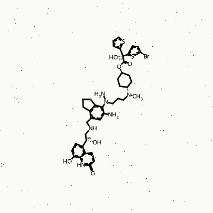 CN(CCCN(N)c1c(N)cc(CNC[C@H](O)c2ccc(O)c3[nH]c(=O)ccc23)c2c1CCC2)[C@H]1CC[C@H](OC(=O)[C@@](O)(c2cccs2)c2ccc(Br)s2)CC1